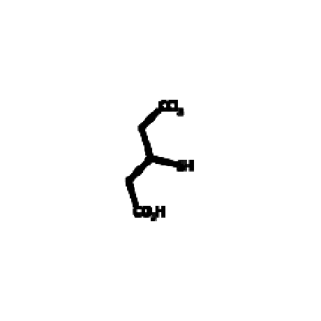 O=C(O)CC(S)CC(Cl)(Cl)Cl